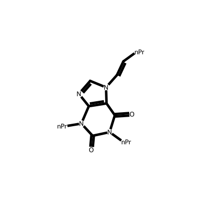 CCCC=Cn1cnc2c1c(=O)n(CCC)c(=O)n2CCC